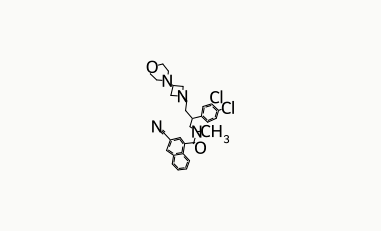 CN(CC(CCN1CC(N2CCOCC2)C1)c1ccc(Cl)c(Cl)c1)C(=O)c1cc(C#N)cc2ccccc12